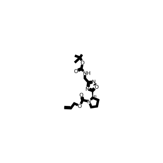 C=CCOC(=O)N1CCC[C@@H]1c1nc(CNC(=O)OC(C)(C)C)no1